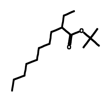 CCCCCCCCC(CC)C(=O)OC(C)(C)C